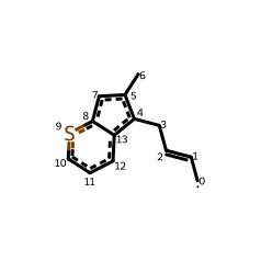 [CH2]C=CCc1c(C)cc2scccc1-2